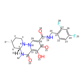 C[C@@H]1CCN2[C@@H](C1)N(C)C(=O)c1c(O)c(=O)c(C(=O)NCc3ccc(F)cc3F)cn12